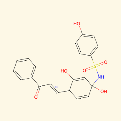 O=C(/C=C/C1C=CC(O)(NS(=O)(=O)c2ccc(O)cc2)C=C1O)c1ccccc1